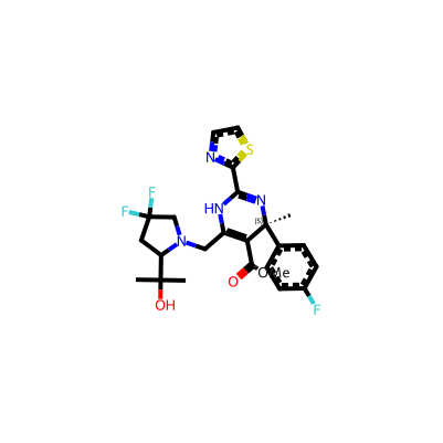 COC(=O)C1=C(CN2CC(F)(F)CC2C(C)(C)O)NC(c2nccs2)=N[C@@]1(C)c1ccc(F)cc1